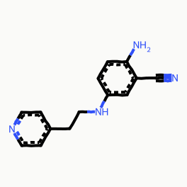 N#Cc1cc(NCCc2ccncc2)ccc1N